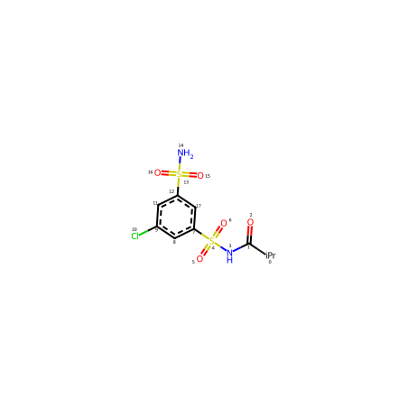 CC(C)C(=O)NS(=O)(=O)c1cc(Cl)cc(S(N)(=O)=O)c1